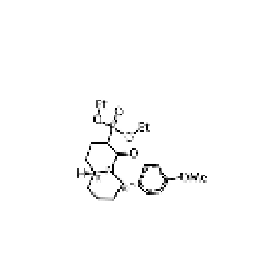 CCOP(=O)(OCC)C1CC[C@H]2CCC[C@@H](c3ccc(OC)cc3)N2C1=O